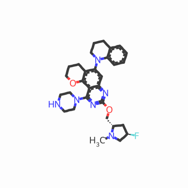 CN1C[C@H](F)C[C@H]1COc1nc(N2CCNCC2)c2c3c(c(N4CCCc5ccccc54)cc2n1)CCCO3